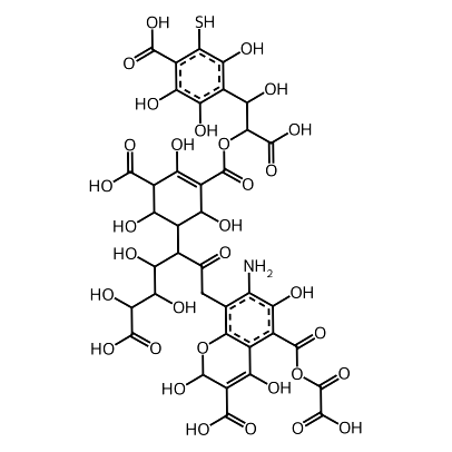 Nc1c(O)c(C(=O)OC(=O)C(=O)O)c2c(c1CC(=O)C(C(O)C(O)C(O)C(=O)O)C1C(O)C(C(=O)OC(C(=O)O)C(O)c3c(O)c(O)c(C(=O)O)c(S)c3O)=C(O)C(C(=O)O)C1O)OC(O)C(C(=O)O)=C2O